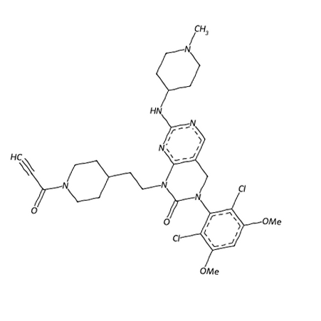 C#CC(=O)N1CCC(CCN2C(=O)N(c3c(Cl)c(OC)cc(OC)c3Cl)Cc3cnc(NC4CCN(C)CC4)nc32)CC1